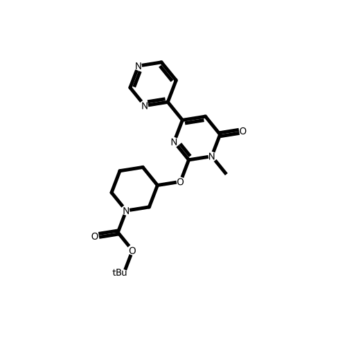 Cn1c(OC2CCCN(C(=O)OC(C)(C)C)C2)nc(-c2ccncn2)cc1=O